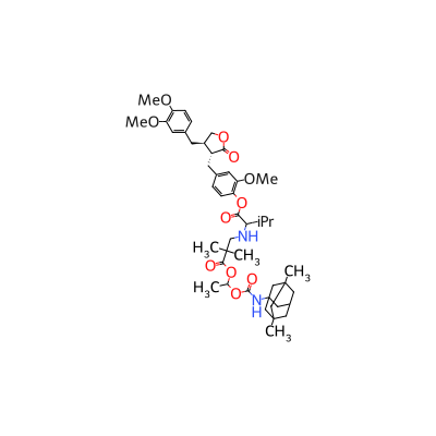 COc1ccc(C[C@H]2COC(=O)[C@@H]2Cc2ccc(OC(=O)C(NCC(C)(C)C(=O)OC(C)OC(=O)NC34CC5CC(C)(CC(C)(C5)C3)C4)C(C)C)c(OC)c2)cc1OC